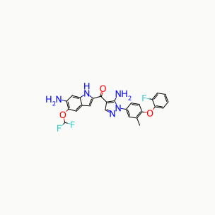 Cc1cc(-n2ncc(C(=O)c3cc4cc(OC(F)F)c(N)cc4[nH]3)c2N)ccc1Oc1ccccc1F